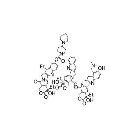 CC[C@@]1(O)C(=O)OCc2c1cc1n(c2=O)Cc2cc3c(CN(C)C)c(O)ccc3nc2-1.CC[C@@]1(O)C(=O)OCc2c1cc1n(c2=O)Cc2cc3ccccc3nc2-1.CCc1c2c(nc3ccc(OC(=O)N4CCC(N5CCCCC5)CC4)cc13)-c1cc3c(c(=O)n1C2)COC(=O)[C@]3(O)CC